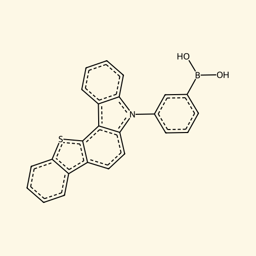 OB(O)c1cccc(-n2c3ccccc3c3c4sc5ccccc5c4ccc32)c1